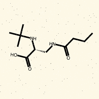 CCCC(=O)NC[C@@H](NC(C)(C)C)C(=O)O